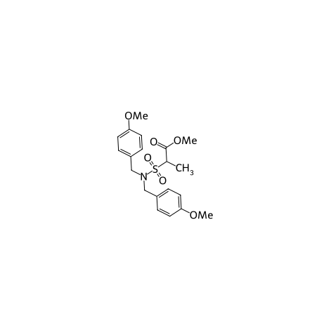 COC(=O)C(C)S(=O)(=O)N(Cc1ccc(OC)cc1)Cc1ccc(OC)cc1